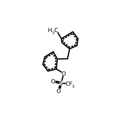 Cc1cccc(Cc2ccccc2OS(=O)(=O)C(F)(F)F)c1